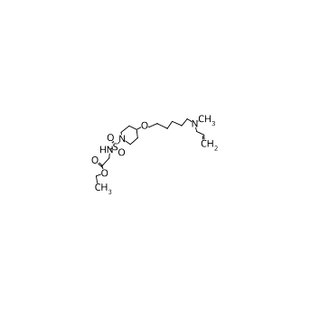 C=CCN(C)CCCCCCOC1CCN(S(=O)(=O)NCC(=O)OCC)CC1